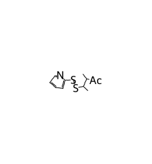 CC(=O)C(C)C(C)SSc1ccccn1